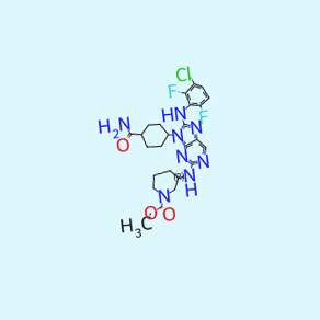 COC(=O)N1CCC[C@@H](Nc2ncc3nc(Nc4c(F)ccc(Cl)c4F)n(C4CCC(C(N)=O)CC4)c3n2)C1